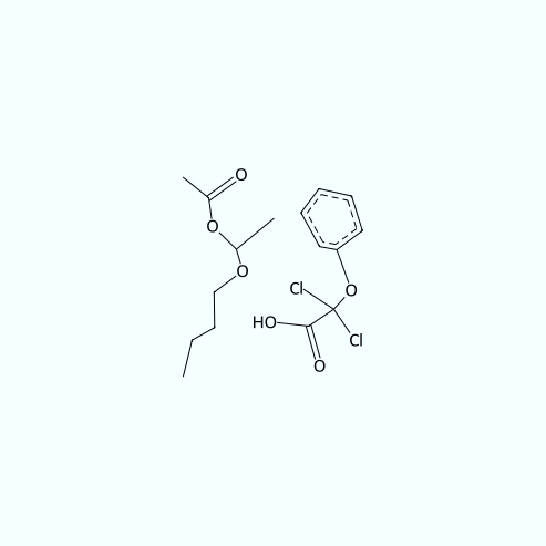 CCCCOC(C)OC(C)=O.O=C(O)C(Cl)(Cl)Oc1ccccc1